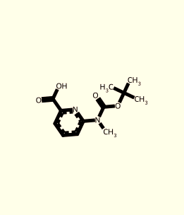 CN(C(=O)OC(C)(C)C)c1cccc(C(=O)O)n1